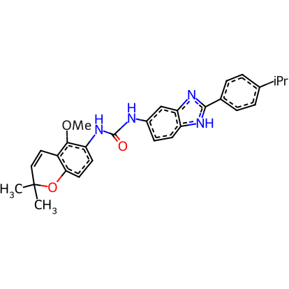 COc1c(NC(=O)Nc2ccc3[nH]c(-c4ccc(C(C)C)cc4)nc3c2)ccc2c1C=CC(C)(C)O2